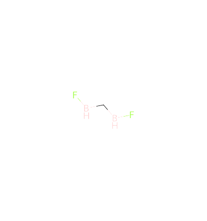 FBCBF